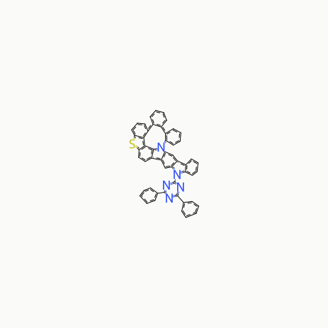 c1ccc(-c2nc(-c3ccccc3)nc(-n3c4ccccc4c4cc5c(cc43)c3ccc4sc6cccc7c8ccccc8c8ccccc8n5c3c4c67)n2)cc1